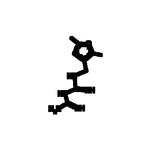 Cc1cc(CNC(=N)NC(=N)N)c(C)o1